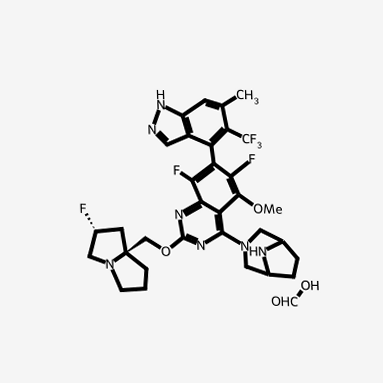 COc1c(F)c(-c2c(C(F)(F)F)c(C)cc3[nH]ncc23)c(F)c2nc(OC[C@@]34CCCN3C[C@H](F)C4)nc(N3CC4CCC(C3)N4)c12.O=CO